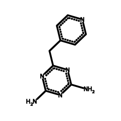 Nc1nc(N)nc(Cc2ccncc2)n1